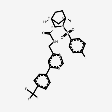 O=C(NCc1cc(-c2ccc(C(F)(F)F)cc2)ncn1)[C@@H]1[C@H]2CC[C@H](C2)N1S(=O)(=O)c1ccc(F)cc1